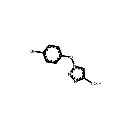 O=C(O)c1cn(Oc2ccc(Br)cc2)nn1